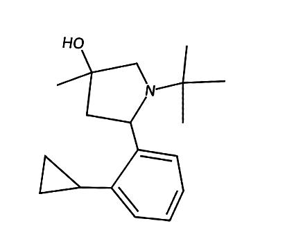 CC1(O)CC(c2ccccc2C2CC2)N(C(C)(C)C)C1